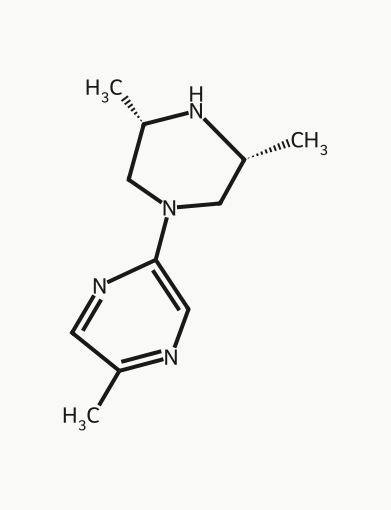 Cc1cnc(N2C[C@@H](C)N[C@@H](C)C2)cn1